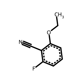 CCOc1cccc(F)c1C#N